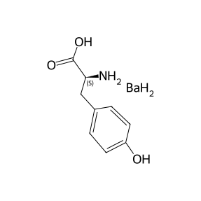 N[C@@H](Cc1ccc(O)cc1)C(=O)O.[BaH2]